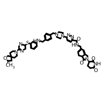 C[C@H]1CC2(CCN(C3=NCC(Sc4cccc(NCc5ccc(CN6CCN(c7ccc(C(=O)NCC8=CCC9C(=O)N(C%10CCC(=O)NC%10=O)CC9=C8)nn7)CC6)cc5)c4)N=C3)CC2)CO1